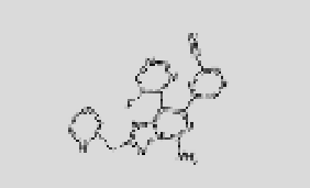 N#Cc1cccc(-c2nc(N)n3nc(Cc4ccccn4)nc3c2-c2ncncc2F)c1